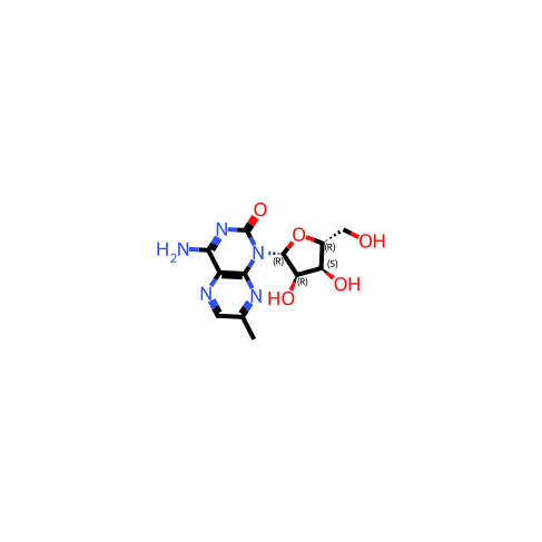 Cc1cnc2c(N)nc(=O)n([C@@H]3O[C@H](CO)[C@@H](O)[C@H]3O)c2n1